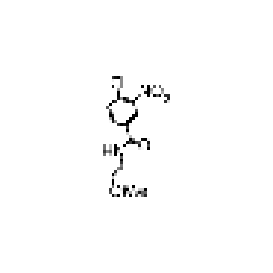 COCCNC(=O)c1ccc(Cl)c([N+](=O)[O-])c1